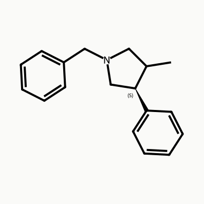 CC1CN(Cc2ccccc2)C[C@@H]1c1ccccc1